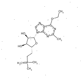 C=P(C)(C)CC[C@H]1O[C@@H](n2cnc3c(OCC)nc(C)nc32)[C@H](O)[C@@H]1O